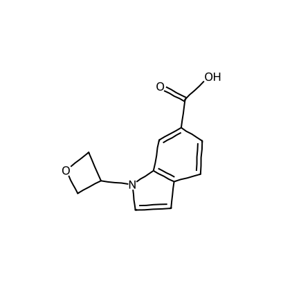 O=C(O)c1ccc2ccn(C3COC3)c2c1